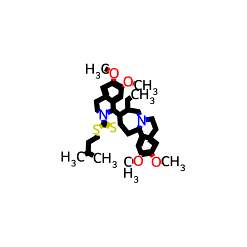 CCC1CN2CCc3cc(OC)c(OC)cc3C2CCC1C1c2cc(OC)c(OC)cc2CCN1C(=S)SCCC(C)C